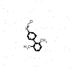 Cc1cccc(C)c1-c1ccc(N=C=O)cc1